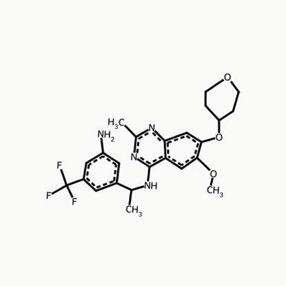 COc1cc2c(NC(C)c3cc(N)cc(C(F)(F)F)c3)nc(C)nc2cc1OC1CCOCC1